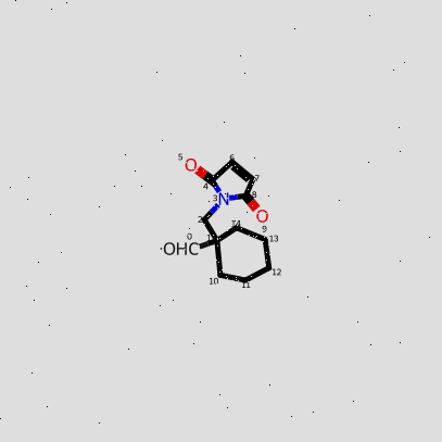 O=[C]C1(CN2C(=O)C=CC2=O)CCCCC1